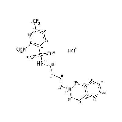 Cl.O=[N+]([O-])c1cc(C(F)(F)F)ccc1S(=O)(=O)NCCCCN1CCc2ccccc2C1